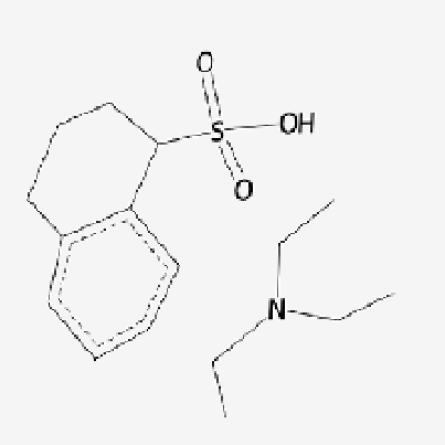 CCN(CC)CC.O=S(=O)(O)C1CCCc2ccccc21